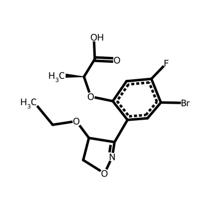 CCOC1CON=C1c1cc(Br)c(F)cc1O[C@@H](C)C(=O)O